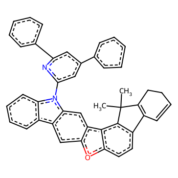 CC1(C)C2=C(C=CCC2)c2ccc3oc4cc5c6ccccc6n(-c6cc(-c7ccccc7)cc(-c7ccccc7)n6)c5cc4c3c21